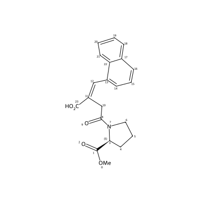 COC(=O)[C@@H]1CCCN1C(=O)CC(=Cc1cccc2ccccc12)C(=O)O